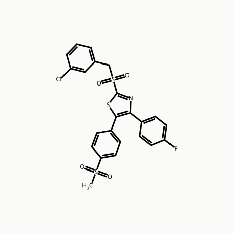 CS(=O)(=O)c1ccc(-c2sc(S(=O)(=O)Cc3cccc(Cl)c3)nc2-c2ccc(F)cc2)cc1